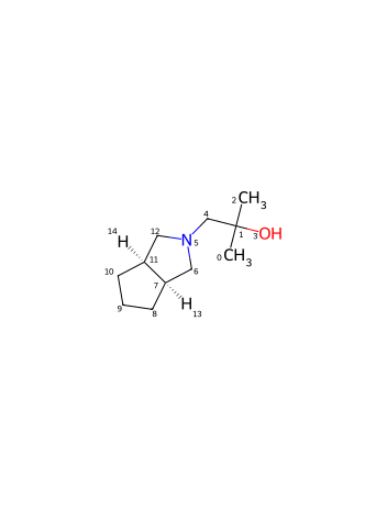 CC(C)(O)CN1C[C@H]2CCC[C@H]2C1